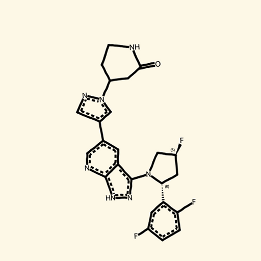 O=C1CC(n2cc(-c3cnc4[nH]nc(N5C[C@@H](F)C[C@@H]5c5cc(F)ccc5F)c4c3)cn2)CCN1